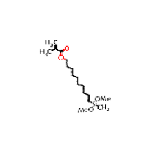 C=C(C)C(=O)OCCCCCCCCCC[Si](C)(OC)OC